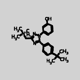 CC(C)(C)c1ccc(-c2nc(C[N+](C)(C)C)nn2-c2cccc(O)c2)cc1